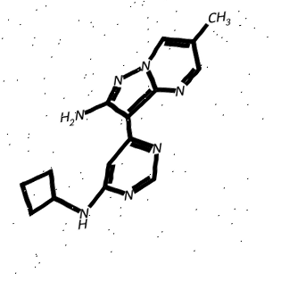 Cc1cnc2c(-c3cc(NC4CCC4)ncn3)c(N)nn2c1